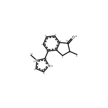 CC1Cc2c(cccc2-c2nccn2C)C1=O